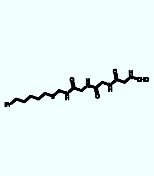 CC(C)CCCCCSCNC(=O)CNC(=O)CNC(=O)CNC=O